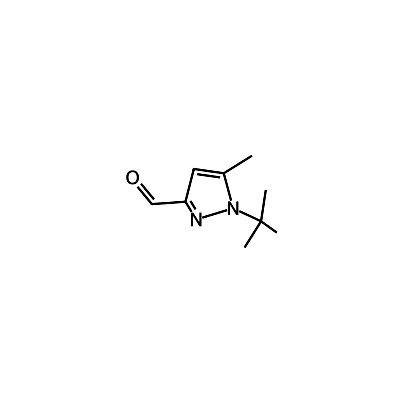 Cc1cc(C=O)nn1C(C)(C)C